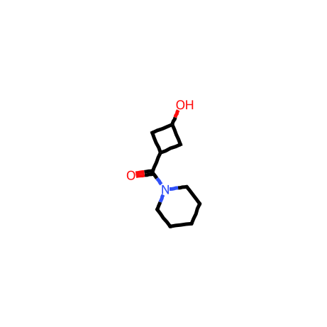 O=C(C1CC(O)C1)N1CCCCC1